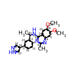 COc1cc2nc(C)nc(NC(C)c3cccc(-c4cn[nH]c4)c3)c2cc1OC